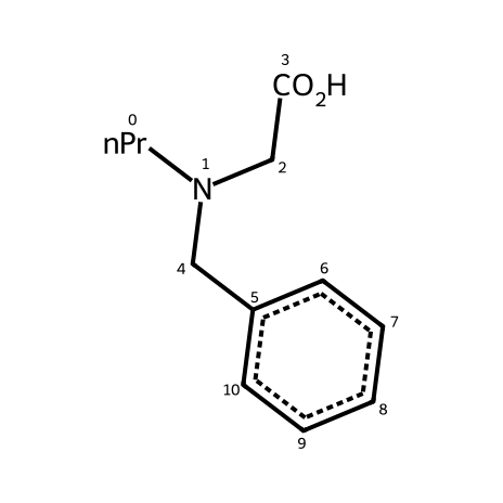 CCCN(CC(=O)O)Cc1ccccc1